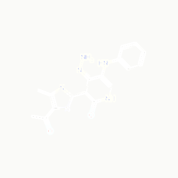 CC(=O)c1sc(C2C(=O)NC=C(Nc3ccccc3)C2=NN)nc1C